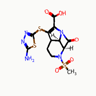 CS(=O)(=O)N1CCC2C(Sc3nnc(N)s3)=C(C(=O)O)N3C(=O)[C@@H]1[C@@H]23